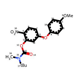 COc1ccc(Oc2ccc([N+](=O)[O-])c(OC(=O)N(C)C(C)(C)C)c2)cc1